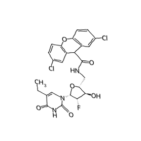 CCc1cn([C@@H]2O[C@H](CNC(=O)C3c4cc(Cl)ccc4Oc4ccc(Cl)cc43)[C@@H](O)[C@@H]2F)c(=O)[nH]c1=O